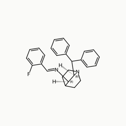 Fc1ccccc1C=N[C@@H]1C2CCN(CC2)[C@@H]1C(c1ccccc1)c1ccccc1